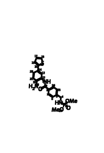 COP(=O)(NCc1ccc(C(=O)Nc2cc(-c3cccs3)ccc2N)cc1)OC